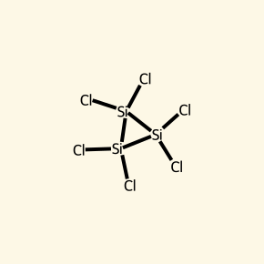 Cl[Si]1(Cl)[Si](Cl)(Cl)[Si]1(Cl)Cl